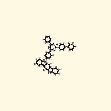 c1ccc(C2=NC(c3ccc(-n4c5ccccc5c5cc6oc7ccccc7c6cc54)cc3)=NC(c3ccc(-c4ccccc4)cc3)N2)cc1